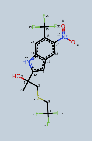 CC(O)(CSCC(F)(F)F)c1cc2cc([N+](=O)[O-])c(C(F)(F)F)cc2[nH]1